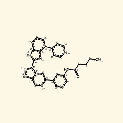 CCCCC(=O)Nc1cncc(-c2cc3c(-c4nc5c(-c6ccncc6)cccc5[nH]4)n[nH]c3cn2)c1